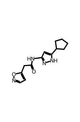 O=C(Cc1ccno1)Nc1cc(C2CCCC2)[nH]n1